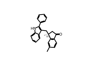 Cc1ccc2c(c1)[C@@](C)(Cc1c(-c3ccccc3)[nH]c3ccccc13)CC2=O